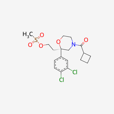 CS(=O)(=O)OCC[C@@]1(c2ccc(Cl)c(Cl)c2)CN(C(=O)C2CCC2)CCO1